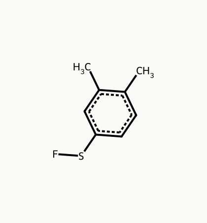 Cc1ccc(SF)cc1C